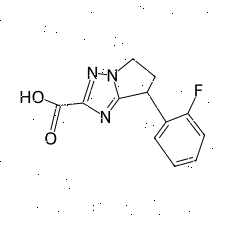 O=C(O)c1nc2n(n1)CCC2c1ccccc1F